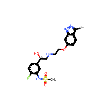 CCc1n[nH]c2cc(OCCNC[C@H](O)c3ccc(F)c(NS(C)(=O)=O)c3)ccc12